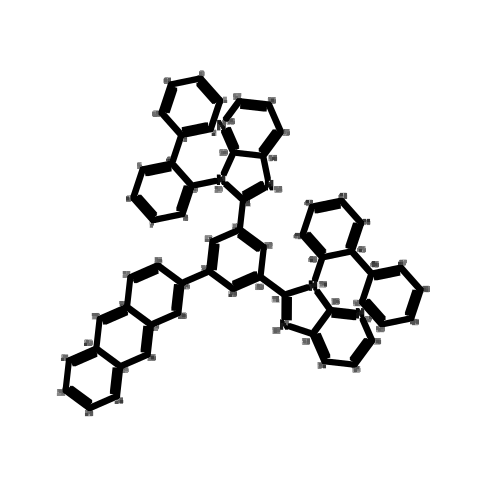 c1ccc(-c2ccccc2-n2c(-c3cc(-c4ccc5cc6ccccc6cc5c4)cc(-c4nc5cccnc5n4-c4ccccc4-c4ccccc4)c3)nc3cccnc32)cc1